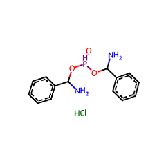 Cl.NC(O[PH](=O)OC(N)c1ccccc1)c1ccccc1